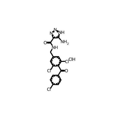 Cl.Nc1[nH]nnc1C(=O)NCc1cc(Cl)c(C(=O)c2ccc(Cl)cc2)c(Cl)c1